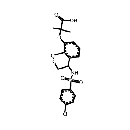 CC(C)(Oc1cccc2c1OCCC2NS(=O)(=O)c1ccc(Cl)cc1)C(=O)O